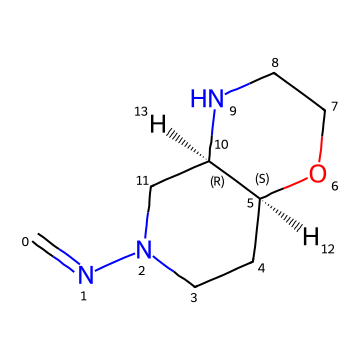 C=NN1CC[C@@H]2OCCN[C@@H]2C1